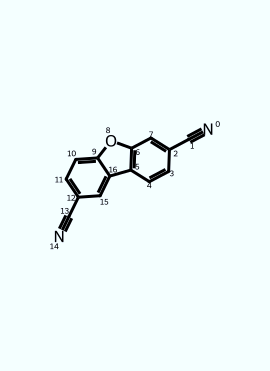 N#Cc1ccc2c(c1)oc1ccc(C#N)cc12